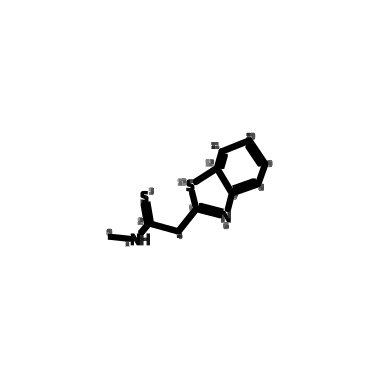 CNC(=S)Cc1nc2ccccc2s1